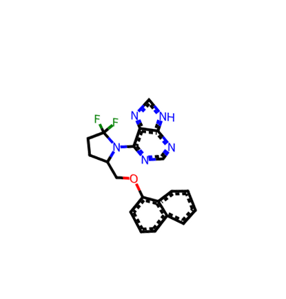 FC1(F)CCC(COc2cccc3ccccc23)N1c1ncnc2[nH]cnc12